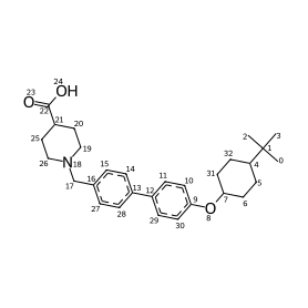 CC(C)(C)C1CCC(Oc2ccc(-c3ccc(CN4CCC(C(=O)O)CC4)cc3)cc2)CC1